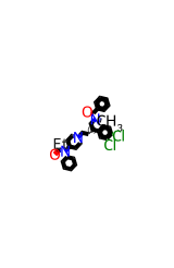 CCC(=O)N(C1CCCCC1)C1CCN(CC[C@H](CN(C)C(=O)c2ccccc2)c2ccc(Cl)c(Cl)c2)CC1